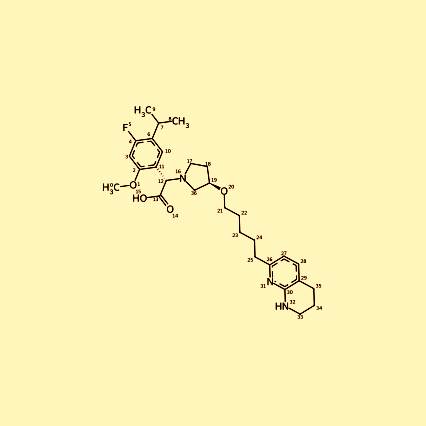 COc1cc(F)c(C(C)C)cc1[C@@H](C(=O)O)N1CC[C@@H](OCCCCCc2ccc3c(n2)NCCC3)C1